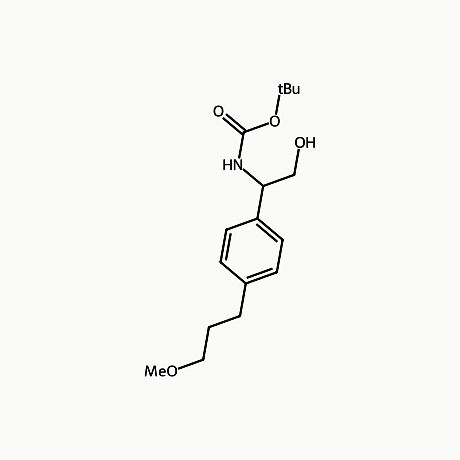 COCCCc1ccc(C(CO)NC(=O)OC(C)(C)C)cc1